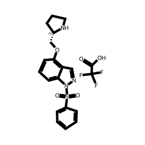 O=C(O)C(F)(F)F.O=S(=O)(c1ccccc1)n1ncc2c(OC[C@@H]3CCCN3)cccc21